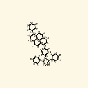 C1=C(c2ccc(-n3c(-c4ccccc4)nnc3-c3ccccc3)cc2)c2ccc3c4c(ccc(c24)C1)C(c1cccnc1)=CC3